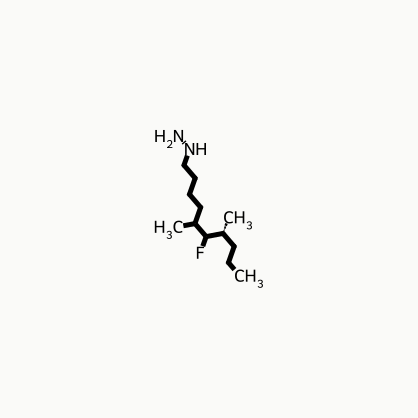 CCC[C@@H](C)C(F)C(C)CCCCNN